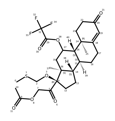 CSCO[C@]1(C(=O)COC(C)=O)CC[C@H]2[C@@H]3CCC4=CC(=O)CC[C@]4(C)[C@H]3C(OC(=O)C(F)(F)F)C[C@@]21C